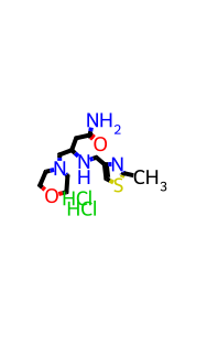 Cc1nc(CNC(CC(N)=O)CN2CCOCC2)cs1.Cl.Cl